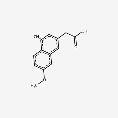 C.COc1ccc2ccc(CC(=O)O)cc2c1